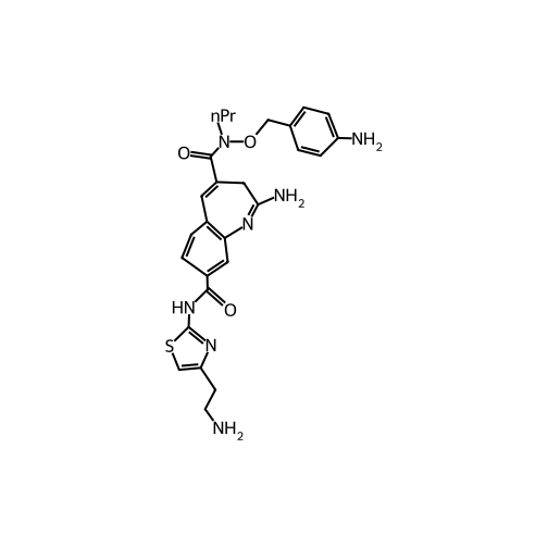 CCCN(OCc1ccc(N)cc1)C(=O)C1=Cc2ccc(C(=O)Nc3nc(CCN)cs3)cc2N=C(N)C1